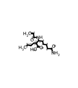 C=CC(=O)NC(CCCCC(N)=O)C(CCCC)C(=O)O